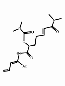 C=C/C=C(/NC(=O)[C@H](CC/C=C/C(=O)N(C)C)OC(=O)N(C)C)C(C)=O